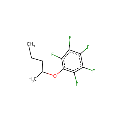 CCCC(C)Oc1c(F)c(F)c(F)c(F)c1F